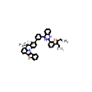 C=Cc1oc2c(-c3nc(-c4cccc(-c5ccc6c(c5)C(C)(C)c5cccc7c8sc9ccccc9c8n-6c57)c4)c4ccccc4n3)cccc2c1C=C